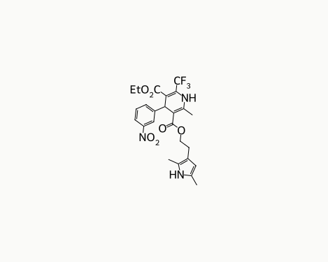 CCOC(=O)C1=C(C(F)(F)F)NC(C)=C(C(=O)OCCc2cc(C)[nH]c2C)C1c1cccc([N+](=O)[O-])c1